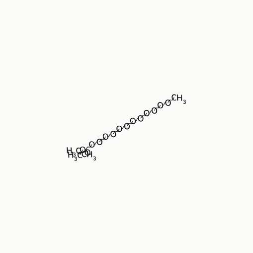 CCCOCCOCCOCCOCCOCCOCCOCCOCCOCCOCCOCCOCCC(=O)OC(C)(C)C